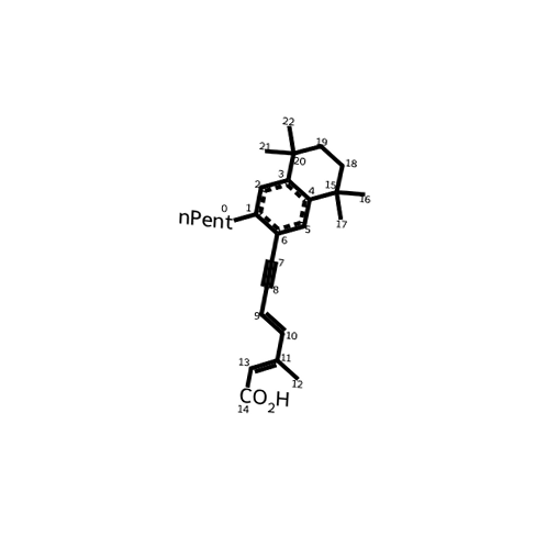 CCCCCc1cc2c(cc1C#CC=CC(C)=CC(=O)O)C(C)(C)CCC2(C)C